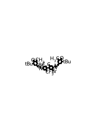 CC1=C/C(=C\N=N\c2cc(C(F)(F)F)c(-c3cc(Br)c(/N=N/C=C4\C=C(C)C(=O)C(C(C)(C)C)=C4)cc3C(F)(F)F)cc2Br)C=C(C(C)(C)C)C1=O